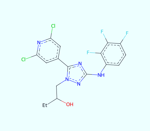 CCC(O)Cn1nc(Nc2ccc(F)c(F)c2F)nc1-c1cc(Cl)nc(Cl)c1